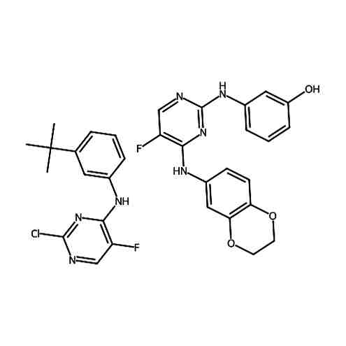 CC(C)(C)c1cccc(Nc2nc(Cl)ncc2F)c1.Oc1cccc(Nc2ncc(F)c(Nc3ccc4c(c3)OCCO4)n2)c1